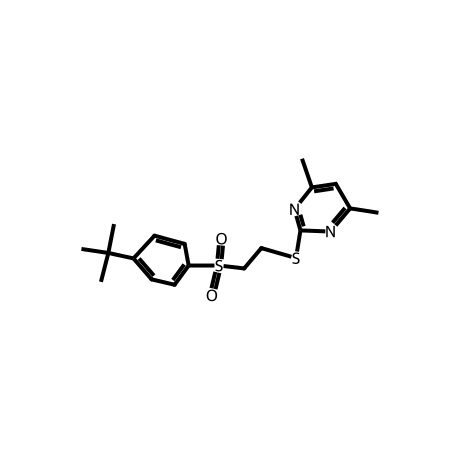 Cc1cc(C)nc(SCCS(=O)(=O)c2ccc(C(C)(C)C)cc2)n1